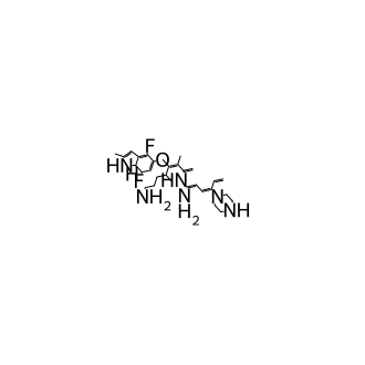 C=C/C(=C\C=C(/N)NC(=C)/C(C)=C(/OC1=CC(F)[C@@H]2NC(C)=CC2=C1F)C(C)CCCN)N1CCNCC1